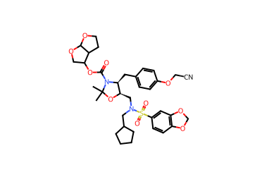 CC1(C)O[C@H](CN(CC2CCCC2)S(=O)(=O)c2ccc3c(c2)OCO3)[C@H](Cc2ccc(OCC#N)cc2)N1C(=O)OC1COC2OCCC12